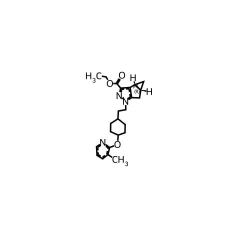 CCOC(=O)c1nn(CCC2CCC(Oc3ncccc3C)CC2)c2c1[C@@H]1C[C@@H]1C2